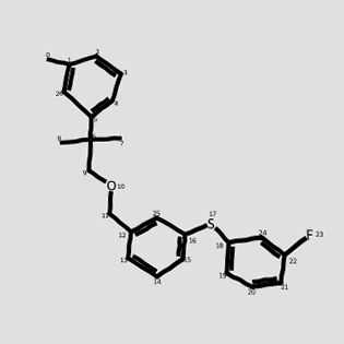 Cc1cccc(C(C)(C)COCc2cccc(Sc3cccc(F)c3)c2)c1